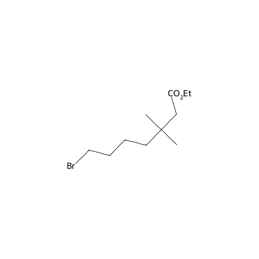 CCOC(=O)CC(C)(C)CCCCBr